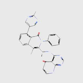 CCc1ncc(-c2cccc3c(Cl)c([C@H](C)Nc4ncnc5[nH]ccc(=O)c45)n(-c4ccccc4)c(=O)c23)cn1